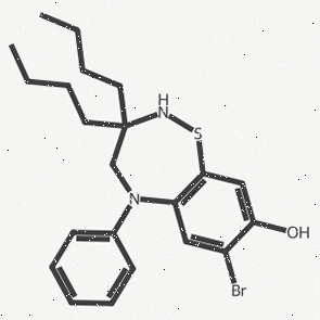 CCCCC1(CCCC)CN(c2ccccc2)c2cc(Br)c(O)cc2SN1